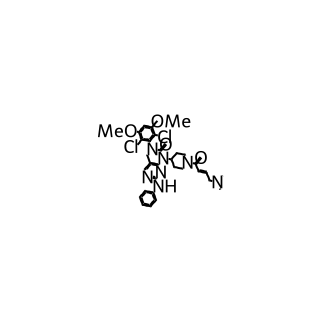 COc1cc(OC)c(Cl)c(N2Cc3cnc(Nc4ccccc4)nc3N(C3CCN(C(=O)/C=C/CN(C)C)CC3)C2=O)c1Cl